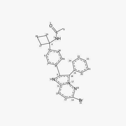 CC(=O)NC1(c2ccc(-c3nc4ccc(Br)nn4c3-c3ccccc3)cc2)CCC1